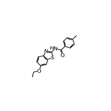 CCOc1ccc2nc(NC(=O)c3ccc(C)cc3)sc2c1